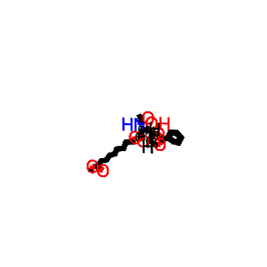 COC(=O)CCCCCCCCO[C@@H]1O[C@@H]2COC(c3ccccc3)O[C@H]2[C@H](O)[C@H]1NC(C)=O